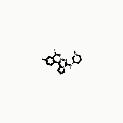 Cc1ccc(-c2nnc(N[C@@H]3CCCN(C)C3)n3cccc23)c(C(F)F)c1